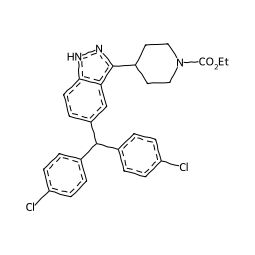 CCOC(=O)N1CCC(c2n[nH]c3ccc(C(c4ccc(Cl)cc4)c4ccc(Cl)cc4)cc23)CC1